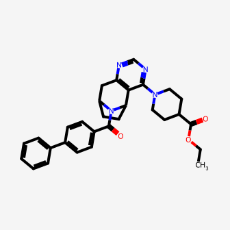 CCOC(=O)C1CCN(c2ncnc3c2C2CCC(C3)N2C(=O)c2ccc(-c3ccccc3)cc2)CC1